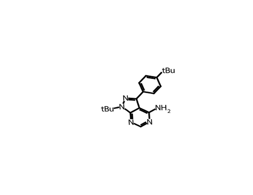 CC(C)(C)c1ccc(-c2nn(C(C)(C)C)c3ncnc(N)c23)cc1